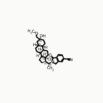 COC[C@@]1(O)CC[C@H]2[C@H](CC[C@@H]3[C@@H]2CC[C@]2(C)[C@@H]([C@@H](C)N4Cc5cc(C#N)ccc5C4=O)CC[C@@H]32)C1